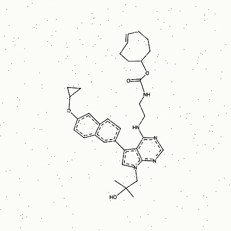 CC(C)(O)Cn1cc(-c2ccc3cc(OC4CC4)ccc3c2)c2c(NCCNC(=O)OC3CC/C=C/CCC3)ncnc21